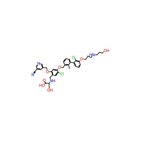 Cc1c(COc2cc(OCc3cncc(C#N)c3)c(CNC(CO)C(=O)O)cc2Cl)cccc1-c1cccc(OCCCNCCCO)c1Cl